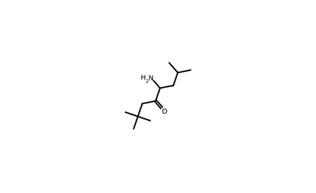 CC(C)CC(N)C(=O)CC(C)(C)C